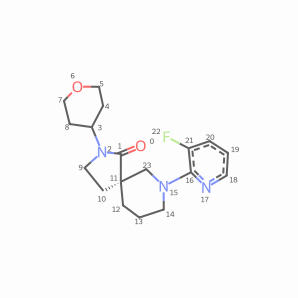 O=C1N(C2CCOCC2)CC[C@]12CCCN(c1ncccc1F)C2